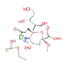 CCSC(O)=S.CO[C@@]1(C(=O)O)C[C@H](O)[C@@H](N)[C@](CC(=O)Cl)([C@H](O)[C@H](O)CO)O1